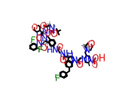 CC1CN(CC(=O)N2C[C@](C)(C(=O)NCC(=O)Nc3ccc4c(c3)[C@@H](C(=O)Nc3c(F)cccc3F)N(C(=O)[C@@H](NC(=O)[C@H](C)N(C)C(=O)OC(C)(C)C)C3CCOCC3)C4)c3ccc(Cc4ccc(F)cc4)cc32)C(CN2CCOC[C@H]2C)CN1C(=O)O